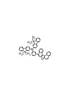 CC1(C)c2ccccc2-c2ccc(N(c3cccc(-c4cc5oc6ccc7ccccc7c6c5c5ccccc45)c3)c3ccc4c(c3)C(C)(C)c3ccccc3-4)cc21